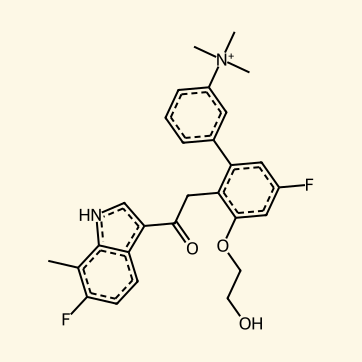 Cc1c(F)ccc2c(C(=O)Cc3c(OCCO)cc(F)cc3-c3cccc([N+](C)(C)C)c3)c[nH]c12